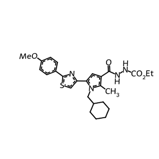 CCOC(=O)NNC(=O)c1cc(-c2csc(-c3ccc(OC)cc3)n2)n(CC2CCCCC2)c1C